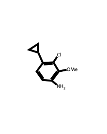 COc1c(N)ccc(C2CC2)c1Cl